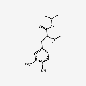 CNC(Cc1ccc(O)c(O)c1)C(=O)OC(C)C